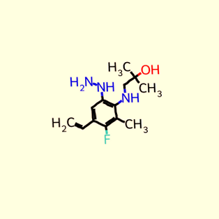 C=Cc1cc(NN)c(NCC(C)(C)O)c(C)c1F